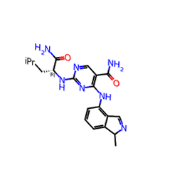 CC(C)C[C@@H](Nc1ncc(C(N)=O)c(Nc2cccc3c2C=NC3C)n1)C(N)=O